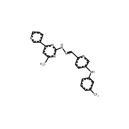 Cc1cc(-c2cccnc2)nc(N/N=C/c2ccc(Nc3cccc(C(F)(F)F)c3)cn2)n1